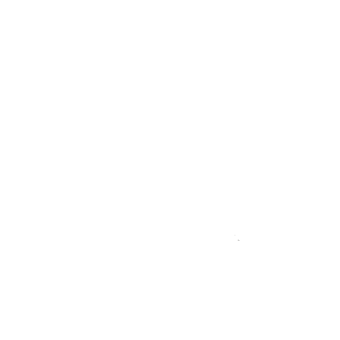 CC(C)[Si](Oc1cc(/C=C/c2cc[c]cc2)cc(O[Si](C(C)C)(C(C)C)C(C)C)c1)(C(C)C)C(C)C